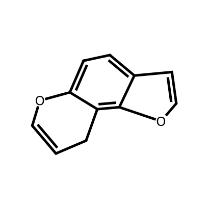 C1=COc2ccc3ccoc3c2C1